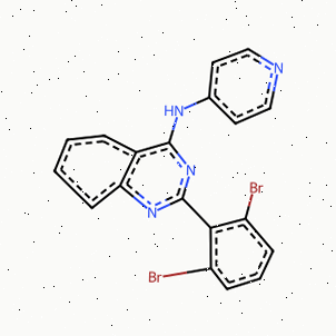 Brc1cccc(Br)c1-c1nc(Nc2ccncc2)c2ccccc2n1